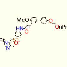 CCCOCCOc1ccc(-c2ccc(OC)c(/C=C/C(=O)Nc3ccc([S+]([O-])Cc4c(C)ncn4CC)cc3)c2)cc1